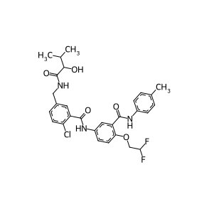 Cc1ccc(NC(=O)c2cc(NC(=O)c3cc(CNC(=O)C(O)C(C)C)ccc3Cl)ccc2OCC(F)F)cc1